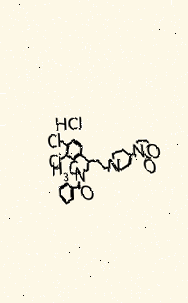 CN(CC(CCN1CCC(N2CCOC2=O)CC1)c1ccc(Cl)c(Cl)c1)C(=O)c1ccccc1.Cl